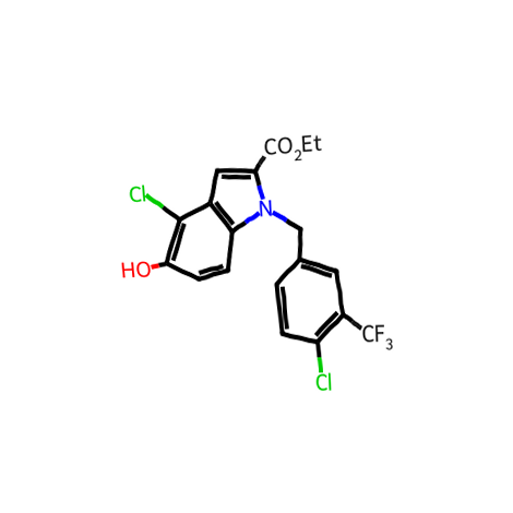 CCOC(=O)c1cc2c(Cl)c(O)ccc2n1Cc1ccc(Cl)c(C(F)(F)F)c1